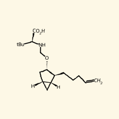 C=CCCC[C@H]1[C@@H]2C[C@@H]2C[C@@H]1OCN[C@H](C(=O)O)C(C)(C)C